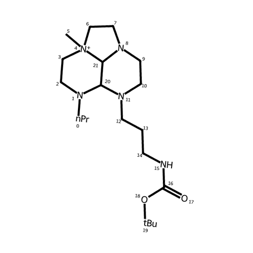 CCCN1CC[N+]2(C)CCN3CCN(CCCNC(=O)OC(C)(C)C)C1C32